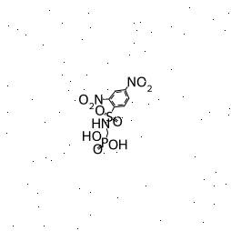 O=[N+]([O-])c1ccc(S(=O)(=O)NCP(=O)(O)O)c([N+](=O)[O-])c1